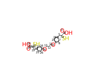 O=C(O)C(S)Cc1ccc(OCCCOc2ccc(CC(S)C(=O)O)cc2)cc1